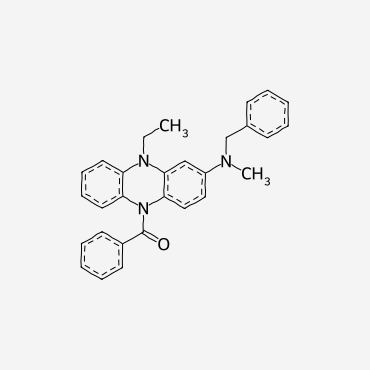 CCN1c2ccccc2N(C(=O)c2ccccc2)c2ccc(N(C)Cc3ccccc3)cc21